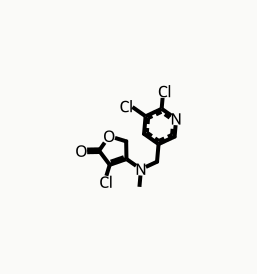 CN(Cc1cnc(Cl)c(Cl)c1)C1=C(Cl)C(=O)OC1